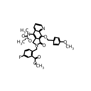 COC(=O)c1cc(F)ccc1CN1Cc2c(c(OCc3ccc(OC)cc3)c3ncccc3c2N(C)S(C)(=O)=O)C1=O